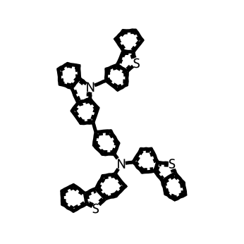 c1ccc2c(c1)sc1ccc(N(c3ccc(-c4ccc5c6ccccc6n(-c6ccc7sc8ccccc8c7c6)c5c4)cc3)c3ccc4sc5ccccc5c4c3)cc12